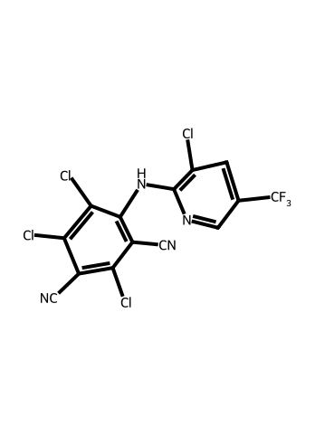 N#Cc1c(Cl)c(Cl)c(Nc2ncc(C(F)(F)F)cc2Cl)c(C#N)c1Cl